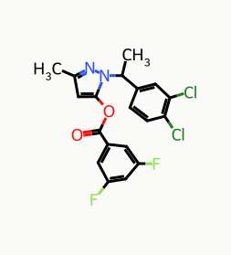 Cc1cc(OC(=O)c2cc(F)cc(F)c2)n(C(C)c2ccc(Cl)c(Cl)c2)n1